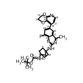 Cc1nc(NC23CCC(NC(=O)OC(C)(C)C)(CC2)C3)nc2c(F)cc(-c3ccnc4c3OCCO4)cc12